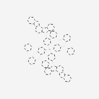 c1ccc(B2c3ccccc3N(c3ccccc3)c3c2ccc2c3-c3cc(-n4c5ccccc5c5c6oc7ccccc7c6ccc54)ccc3C23c2ccc(-n4c5ccccc5c5c6oc7ccccc7c6ccc54)cc2-c2c3ccc3c2N(c2ccccc2)c2ccccc2B3c2ccccc2)cc1